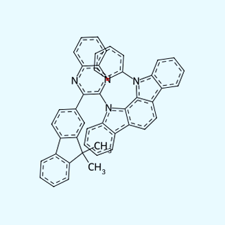 CC1(C)c2ccccc2-c2ccc(-c3nc4ccccc4nc3-n3c4ccccc4c4ccc5c6ccccc6n(-c6ccccc6)c5c43)cc21